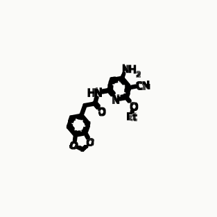 CCOc1nc(NC(=O)Cc2ccc3c(c2)OCO3)cc(N)c1C#N